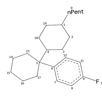 CCCCCC1CCC(C2(c3ccc(F)cc3)CCCCC2)CC1